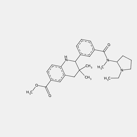 CCN1CCCC1N(C)C(=O)c1cccc(C2Nc3ccc(C(=O)OC)cc3CC2(C)C)c1